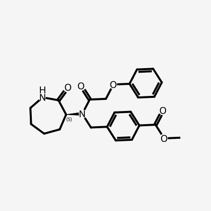 COC(=O)c1ccc(CN(C(=O)COc2ccccc2)[C@H]2CCCCNC2=O)cc1